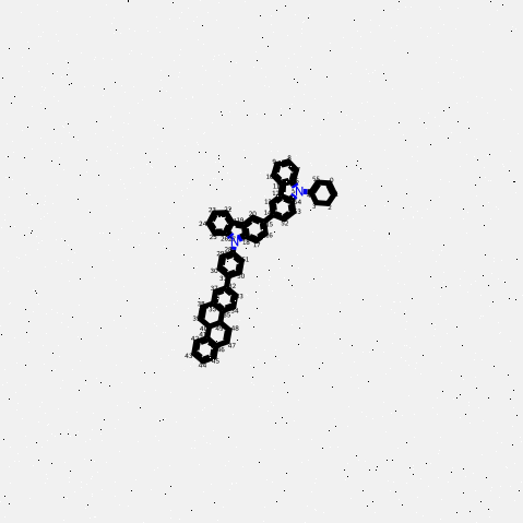 C1=CCCC(n2c3ccccc3c3cc(-c4ccc5c(c4)c4ccccc4n5-c4ccc(-c5ccc6c(c5)C=CC5c7ccccc7C=CC65)cc4)ccc32)=C1